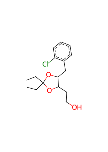 CCC1(CC)OC(CCO)C(Cc2ccccc2Cl)O1